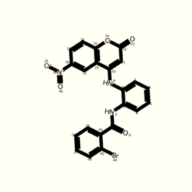 O=C(Nc1ccccc1Nc1cc(=O)oc2ccc([N+](=O)[O-])cc12)c1ccccc1Br